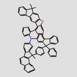 CC1(C)c2ccccc2-c2cc3c(cc21)oc1cccc(-c2ccccc2N(c2ccc4c(c2)C(C)(C)c2c-4ccc4ccccc24)c2ccc4c(c2)C(c2ccccc2)(c2ccccc2)c2ccccc2-4)c13